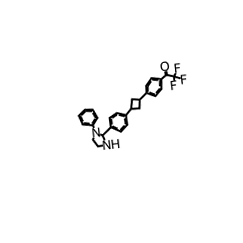 O=C(c1ccc(C2CC(c3ccc(C4NCCN4c4ccccc4)cc3)C2)cc1)C(F)(F)F